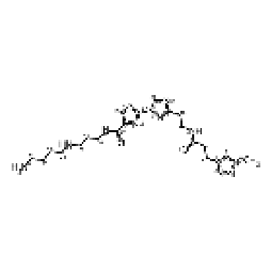 Cn1cc(CCC(=O)NCCc2nc(-c3nc(C(=O)NCCCNCCCCN)cs3)cs2)nn1